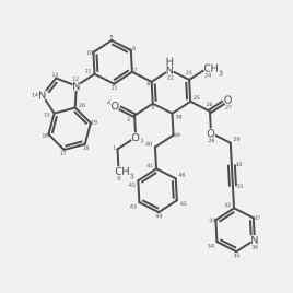 CCOC(=O)C1=C(c2cccc(-n3cnc4ccccc43)c2)NC(C)=C(C(=O)OCC#Cc2cccnc2)C1CCc1ccccc1